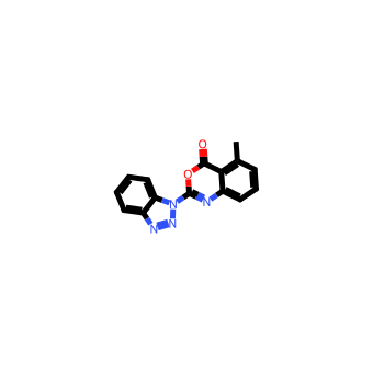 Cc1cccc2nc(-n3nnc4ccccc43)oc(=O)c12